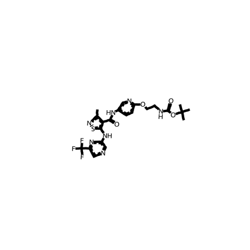 Cc1nsc(Nc2cncc(C(F)(F)F)n2)c1C(=O)Nc1ccc(OCCNC(=O)OC(C)(C)C)nc1